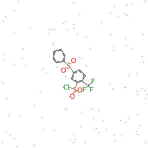 O=S(=O)(Cl)c1cc(S(=O)(=O)c2ccccc2)ccc1C(F)(F)F